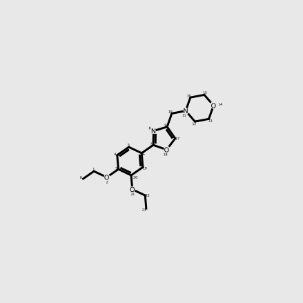 CCOc1ccc(-c2nc(CN3CCOCC3)co2)cc1OCC